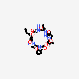 C#CCCC[C@@H]1OC(=O)CNC(=O)[C@H]([C@@H](C)CC)NC(=O)[C@@H]2CCCN2C(=O)[C@H]([C@@H](C)CC)OC(=O)[C@H](Cc2ccccc2)N(C)C(=O)[C@H](C(C)C)NC(=O)C1(C)C